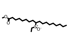 CCCCCCCCCC(CCCCCCCC(=O)OC)[S+]([O-])CC